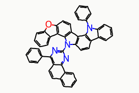 c1ccc(-c2nc(-n3c4ccc5c6ccccc6n(-c6ccccc6)c5c4c4ccc5oc6ccccc6c5c43)nc3c2ccc2ccccc23)cc1